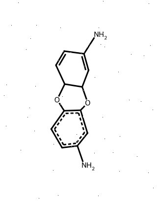 NC1=CC2Oc3cc(N)ccc3OC2C=C1